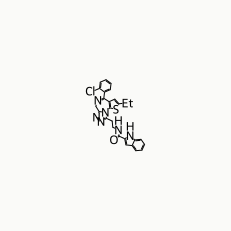 CCc1cc2c(s1)-n1c(CCNC(=O)c3cc4ccccc4[nH]3)nnc1CN=C2c1ccccc1Cl